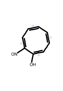 O=NC1=C/C=C\C=C/C=C\1O